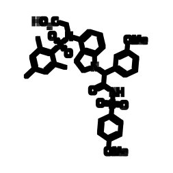 COc1ccc(S(=O)(=O)NC(=O)C(c2cccc(OC)c2)N2CCc3c2cccc3N(CC(=O)O)S(=O)(=O)c2c(C)cc(C)cc2C)cc1